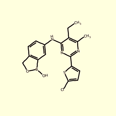 CCc1c(C)nc(-c2ccc(Cl)s2)nc1Nc1ccc2c(c1)B(O)OC2